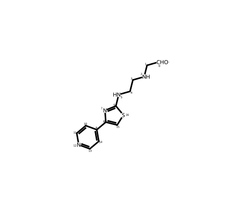 O=[C]CNCCNc1nc(-c2ccncc2)cs1